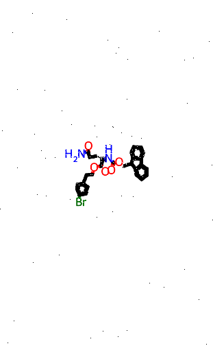 NC(=O)CC[C@H](NC(=O)OCC1c2ccccc2-c2ccccc21)C(=O)OCCc1ccc(Br)cc1